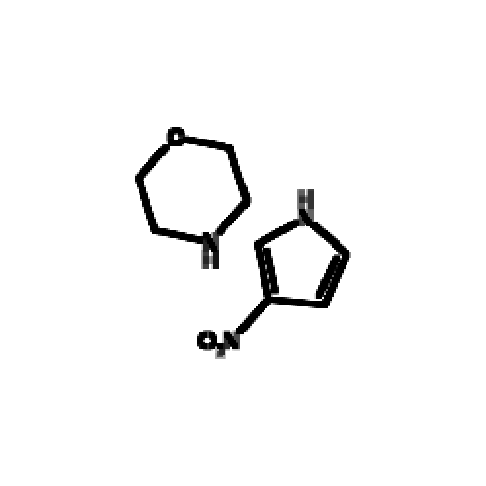 C1COCCN1.O=[N+]([O-])c1cc[nH]c1